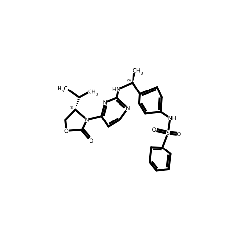 CC(C)[C@H]1COC(=O)N1c1ccnc(N[C@@H](C)c2ccc(NS(=O)(=O)c3ccccc3)cc2)n1